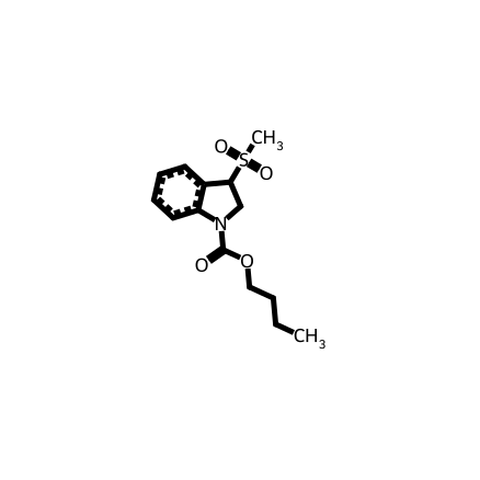 CCCCOC(=O)N1CC(S(C)(=O)=O)c2ccccc21